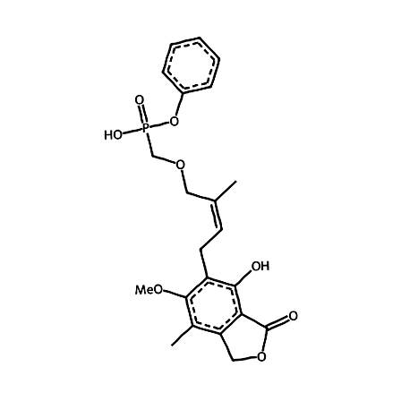 COc1c(C)c2c(c(O)c1CC=C(C)COCP(=O)(O)Oc1ccccc1)C(=O)OC2